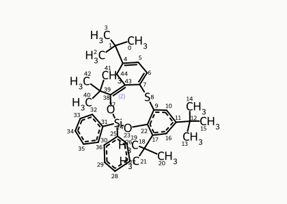 CC(C)(C)C1=CC=C2Sc3cc(C(C)(C)C)cc(C(C)(C)C)c3O[Si](c3ccccc3)(c3ccccc3)O/C(C(C)(C)C)=C\2C1